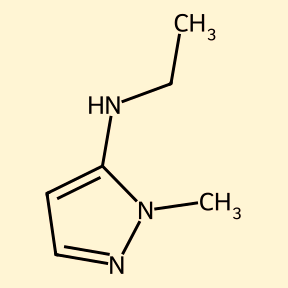 CCNc1ccnn1C